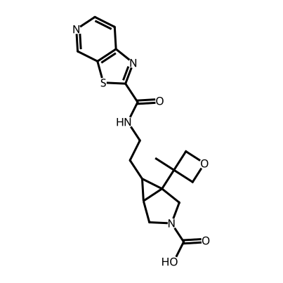 CC1(C23CN(C(=O)O)CC2C3CCNC(=O)c2nc3ccncc3s2)COC1